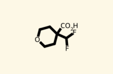 O=C(O)C1(C(F)F)CCOCC1